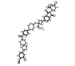 COC1(CN2CCN(c3ccc(C(=O)N4CCC5(CC4)CCN(c4ccc(C#N)c(Cl)c4)C5)cc3)CC2)CN(c2ccc3c(c2)C(=O)N(C2CCC(=O)NC2=O)C3=O)C1